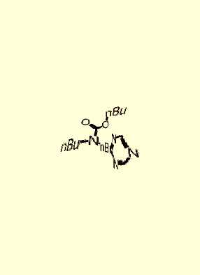 CCCCOC(=O)N(CCCC)CCCC.c1ncncn1